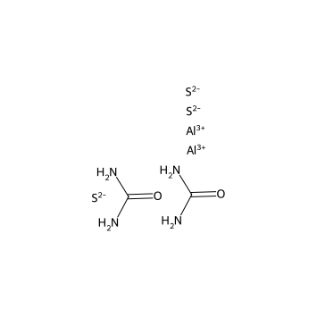 NC(N)=O.NC(N)=O.[Al+3].[Al+3].[S-2].[S-2].[S-2]